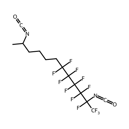 CC(CCCCC(F)(F)C(F)(F)C(F)(F)C(F)(F)C(F)(N=C=O)C(F)(F)F)N=C=O